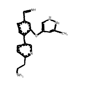 CC1=CC(Oc2cc(C=N)ccc2-c2ccc(CCN)nc2)=CNN1